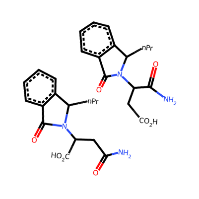 CCCC1c2ccccc2C(=O)N1C(CC(=O)O)C(N)=O.CCCC1c2ccccc2C(=O)N1C(CC(N)=O)C(=O)O